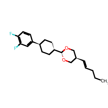 CCCC=C[C@H]1CO[C@H]([C@H]2CC[C@H](c3ccc(F)c(F)c3)CC2)OC1